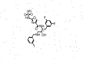 CCCS(=O)(=O)Nc1nc(C(=O)N[C@@H](Cc2cc(F)cc(F)c2)[C@H](O)CNCc2cccc(I)c2)co1